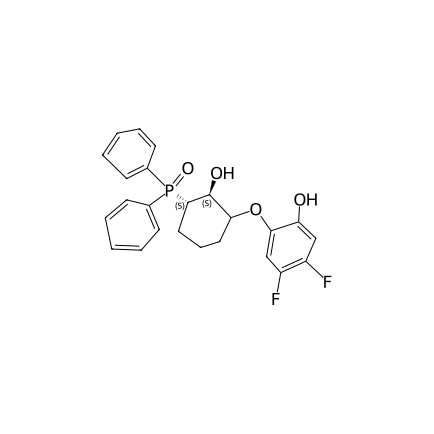 O=P(c1ccccc1)(c1ccccc1)[C@H]1CCCC(Oc2cc(F)c(F)cc2O)[C@@H]1O